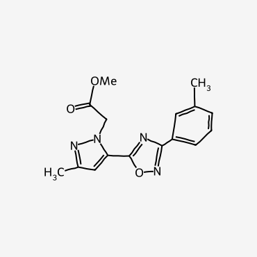 COC(=O)Cn1nc(C)cc1-c1nc(-c2cccc(C)c2)no1